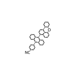 N#Cc1ccc(-c2c3ccccc3c(-c3ccc4c5c(cccc35)Oc3ccccc3-4)c3ccccc23)cc1